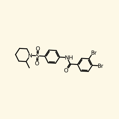 CC1CCCCN1S(=O)(=O)c1ccc(NC(=O)c2ccc(Br)c(Br)c2)cc1